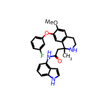 COc1cc2c(cc1Oc1cccc(F)c1)C(C)(CC(=O)Nc1cccc3[nH]ccc13)NCC2